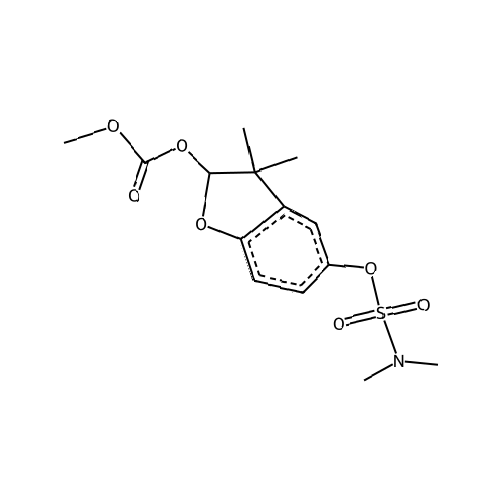 COC(=O)OC1Oc2ccc(OS(=O)(=O)N(C)C)cc2C1(C)C